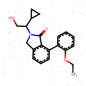 O=C1c2c(cccc2-c2ccccc2OCC(F)(F)F)CN1C(CO)C1CC1